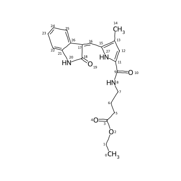 CCOC(=O)CCCNC(=O)c1cc(C)c(/C=C2\C(=O)Nc3ccccc32)[nH]1